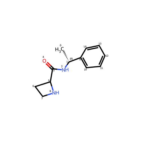 C[C@@H](NC(=O)C1CCN1)c1ccccc1